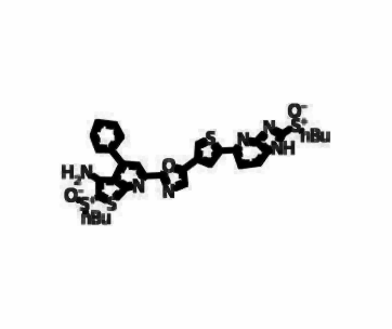 CCCC[S+]([O-])c1nc2nc(-c3cc(-c4cnc(-c5cc(-c6ccccc6)c6c(N)c([S+]([O-])CCCC)sc6n5)o4)cs3)ccc2[nH]1